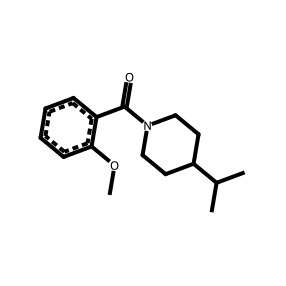 COc1ccccc1C(=O)N1CCC(C(C)C)CC1